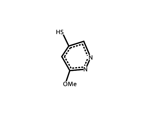 COc1cc(S)cnn1